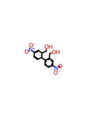 O=[N+]([O-])C1=CC(CO)C(c2ccc([N+](=O)[O-])cc2CO)C=C1